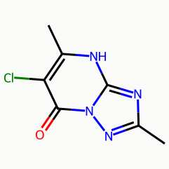 Cc1nc2[nH]c(C)c(Cl)c(=O)n2n1